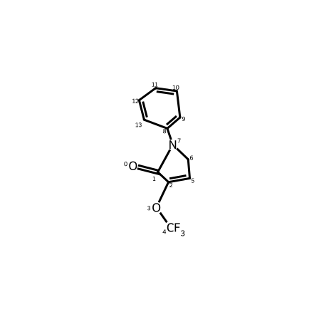 O=C1C(OC(F)(F)F)=CCN1c1ccccc1